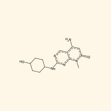 Cn1c(=O)cc(N)c2cnc(NC3CCC(O)CC3)nc21